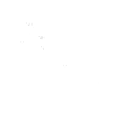 NC(=O)N/N=C/c1ccc(-c2cccc(Cl)c2)o1